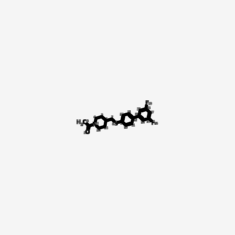 CC(=O)N1CCC(CSc2ccc(-c3cc(F)cc(F)c3)cc2)CC1